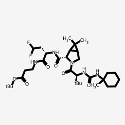 CC1(NC(=O)N[C@H](C(=O)N2CC3C([C@H]2C(=O)N[C@@H](CC(F)F)C(=O)NCCC(=O)OC(C)(C)C)C3(C)C)C(C)(C)C)CCCCC1